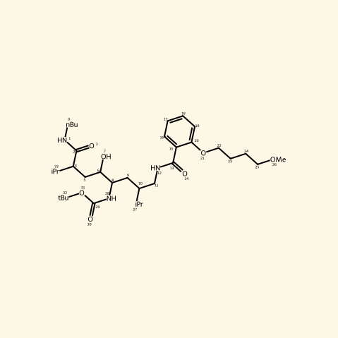 CCCCNC(=O)C(CC(O)C(CC(CNC(=O)c1ccccc1OCCCCOC)C(C)C)NC(=O)OC(C)(C)C)C(C)C